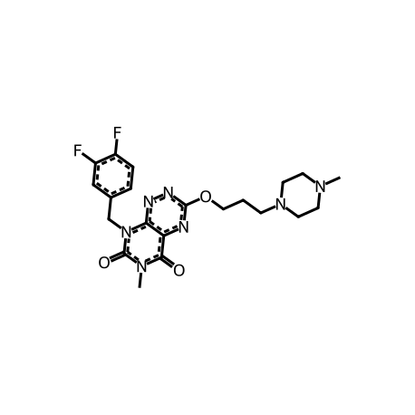 CN1CCN(CCCOc2nnc3c(n2)c(=O)n(C)c(=O)n3Cc2ccc(F)c(F)c2)CC1